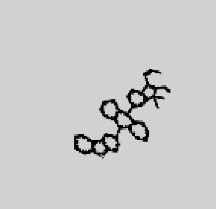 C=CC1=C(/C=C\C)c2ccc(-c3c4ccccc4c(-c4ccc5sc6ccccc6c5c4)c4ccccc34)cc2C1(C)C